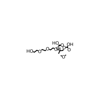 CC(COC(=O)O)OC(=O)O.COC.OCCOCCOCCO